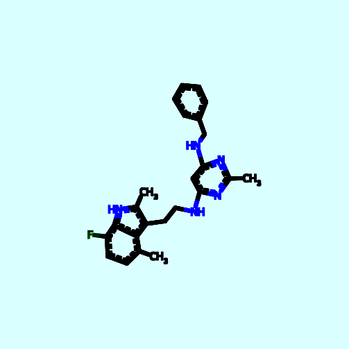 Cc1nc(NCCc2c(C)[nH]c3c(F)ccc(C)c23)cc(NCc2ccccc2)n1